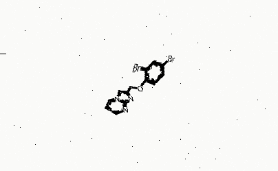 Brc1ccc(OCc2cn3cccnc3n2)c(Br)c1